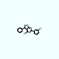 Clc1cccc(-c2nc(Cl)c3c(-c4ccccc4)noc3n2)c1